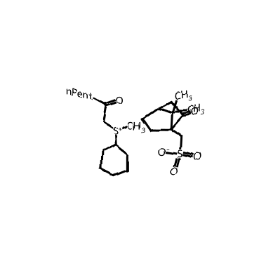 CC1(C)C2CCC1(CS(=O)(=O)[O-])C(=O)C2.CCCCCC(=O)C[S+](C)C1CCCCC1